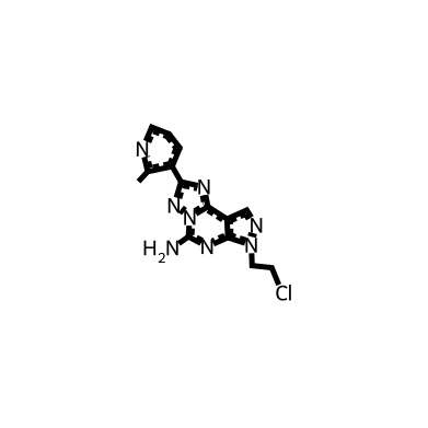 Cc1ncccc1-c1nc2c3cnn(CCCl)c3nc(N)n2n1